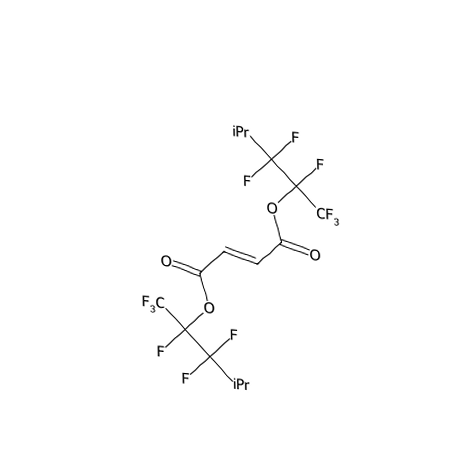 CC(C)C(F)(F)C(F)(OC(=O)/C=C/C(=O)OC(F)(C(F)(F)F)C(F)(F)C(C)C)C(F)(F)F